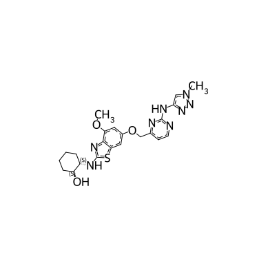 COc1cc(OCc2ccnc(Nc3cn(C)nn3)n2)cc2sc(N[C@H]3CCCC[C@@H]3O)nc12